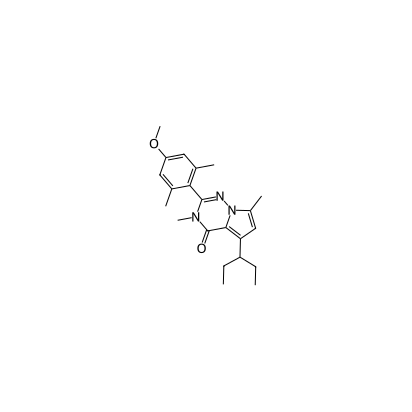 CCC(CC)c1cc(C)n2nc(-c3c(C)cc(OC)cc3C)n(C)c(=O)c12